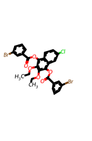 CCOc1c(OCC)c(OC(=O)c2cccc(Br)c2)c2cc(Cl)ccc2c1OC(=O)c1cccc(Br)c1